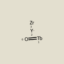 [O]=[Tb].[Y].[Zr]